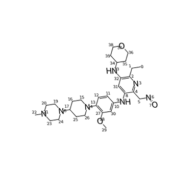 CCc1nc(CN=O)c(Nc2ccc(N3CCC(N4CCN(C)CC4)CC3)c(OC)c2)cc1NC1CCOCC1